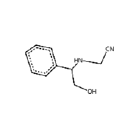 N#CCNC(CO)c1ccccc1